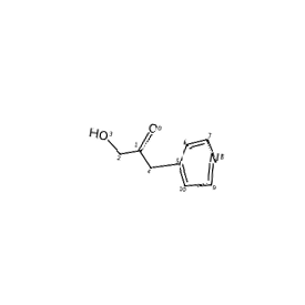 O=C(CO)Cc1ccncc1